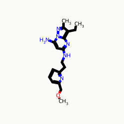 CCc1c(C)nn2c(N)cc(NCCc3cccc(COC)n3)nc12